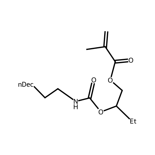 C=C(C)C(=O)OCC(CC)OC(=O)NCCCCCCCCCCCC